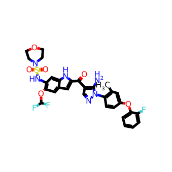 Cc1cc(Oc2ccccc2F)ccc1-n1ncc(C(=O)c2cc3cc(OC(F)F)c(NS(=O)(=O)N4CCOCC4)cc3[nH]2)c1N